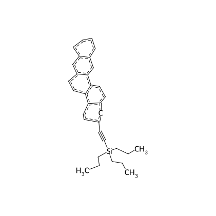 CCC[Si](C#Cc1ccc2c(ccc3c4cc5ccccc5cc4ccc23)c1)(CCC)CCC